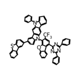 FC(F)(F)c1cc(-c2nc(-c3ccccc3)nc(-c3ccccc3)n2)c2c(oc3ccccc32)c1-n1c2ccc(-c3ccc4sc5ccccc5c4c3)cc2c2cc3c(cc21)c1ccccc1n3-c1ccccc1